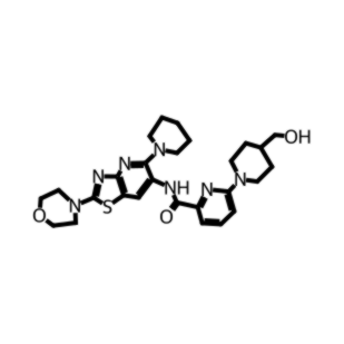 O=C(Nc1cc2sc(N3CCOCC3)nc2nc1N1CCCCC1)c1cccc(N2CCC(CO)CC2)n1